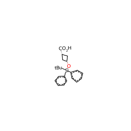 CC(C)(C)[Si](O[C@H]1C[C@@H](C(=O)O)C1)(c1ccccc1)c1ccccc1